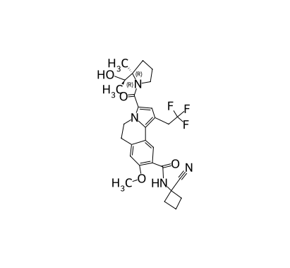 COc1cc2c(cc1C(=O)NC1(C#N)CCC1)-c1c(CC(F)(F)F)cc(C(=O)N3CCC[C@]3(C)[C@@H](C)O)n1CC2